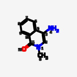 Cn1cc(N)c2ccccc2c1=O